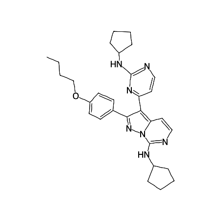 CCCCOc1ccc(-c2nn3c(NC4CCCC4)nccc3c2-c2ccnc(NC3CCCC3)n2)cc1